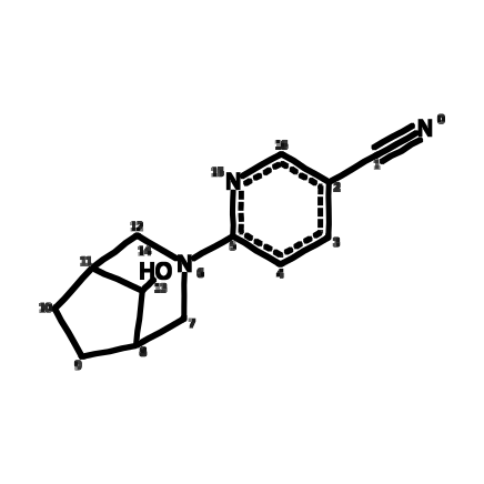 N#Cc1ccc(N2CC3CCC(C2)C3O)nc1